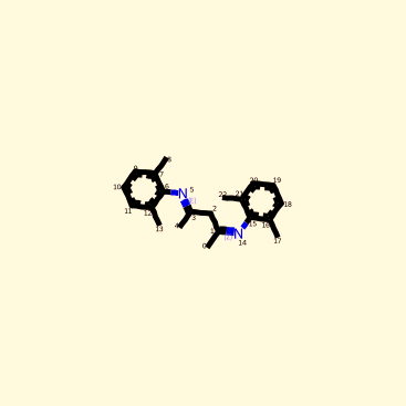 C/C(C/C(C)=N/c1c(C)cccc1C)=N/c1c(C)cccc1C